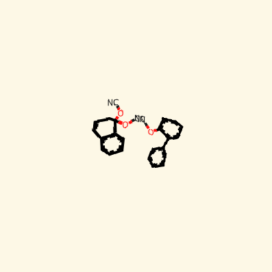 N#COC1(OC#N)CC=Cc2ccccc21.N#COc1ccccc1-c1ccccc1